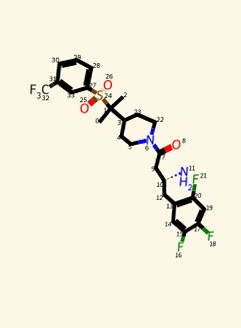 CC(C)(C1CCN(C(=O)C[C@H](N)Cc2cc(F)c(F)cc2F)CC1)S(=O)(=O)c1cccc(C(F)(F)F)c1